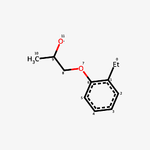 CCc1ccccc1OCC(C)[O]